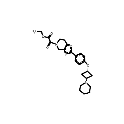 CCOC(=O)C(=O)N1CCc2nc(-c3ccc(O[C@H]4C[C@H](N5CCCCC5)C4)cc3)sc2C1